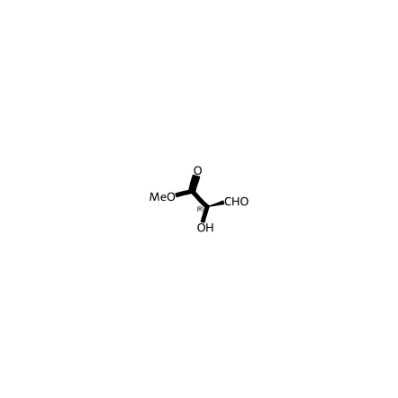 COC(=O)[C@H](O)C=O